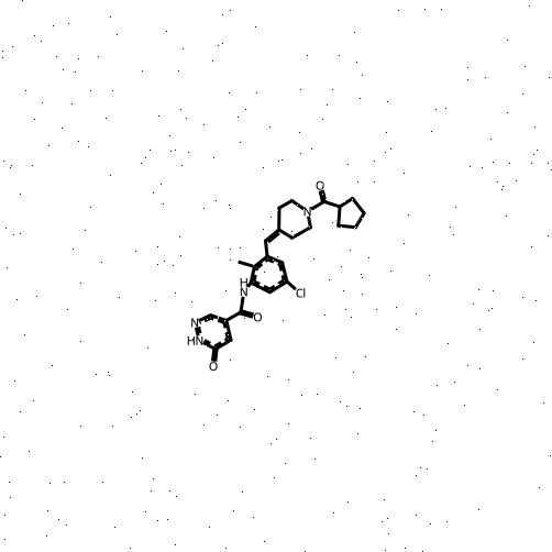 Cc1c(C=C2CCN(C(=O)C3CCCC3)CC2)cc(Cl)cc1NC(=O)c1cn[nH]c(=O)c1